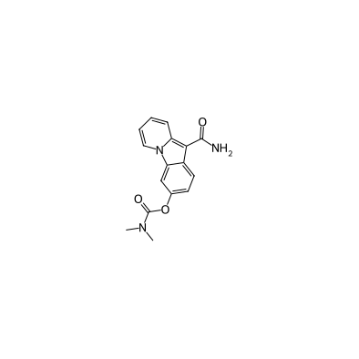 CN(C)C(=O)Oc1ccc2c(C(N)=O)c3ccccn3c2c1